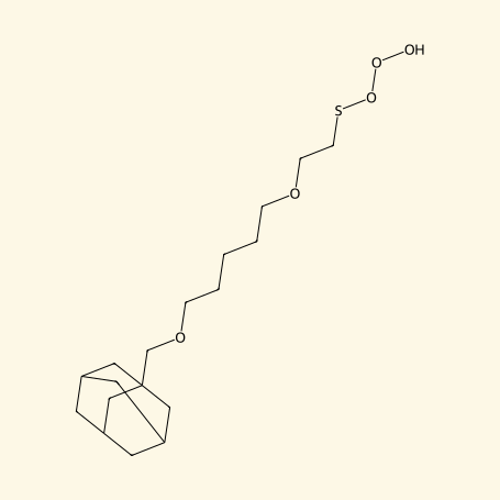 OOOSCCOCCCCCOCC12CC3CC(CC(C3)C1)C2